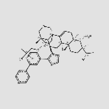 CC(C)[C@@H](C)[C@@]1(C)CC[C@]2(C)[C@H]3CC[C@@H]4[C@@]5(COC[C@@]4(C)[C@@H](OC[C@](C)(N)C(C)C)[C@H](n4ncnc4-c4ccnc(-c6ccncc6)c4)C5)C3=CC[C@@]2(C)[C@@H]1C(=O)O